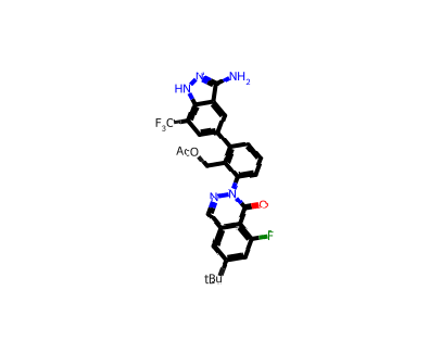 CC(=O)OCc1c(-c2cc(C(F)(F)F)c3[nH]nc(N)c3c2)cccc1-n1ncc2cc(C(C)(C)C)cc(F)c2c1=O